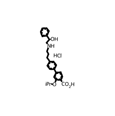 CC(C)Oc1cc(-c2ccc(CCCNC[C@@H](O)c3ccccc3)cc2)ccc1C(=O)O.Cl